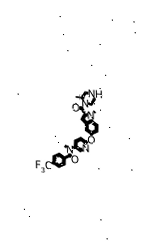 C[C@H]1CNCCN1C(=O)c1cc2cc(Oc3ccc(N(C)C(=O)c4ccc(C(F)(F)F)cc4)cn3)ccc2n1C